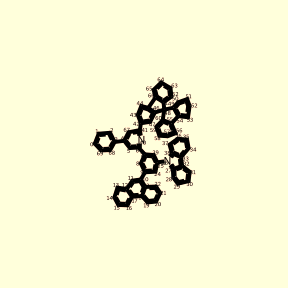 c1ccc(-c2cc(-c3cc(-c4cc5ccccc5c5ccccc45)cc(-n4c5ccccc5c5ccccc54)c3)nc(-c3ccc4c(c3)C3(c5ccccc5-c5ccccc53)c3ccccc3-4)c2)cc1